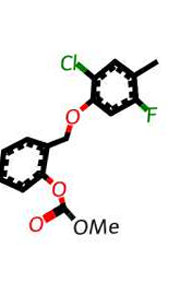 COC(=O)Oc1ccccc1COc1cc(F)c(C)cc1Cl